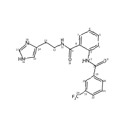 O=C(Nc1ccccc1C(=O)NCCc1c[nH]cn1)c1cccc(C(F)(F)F)c1